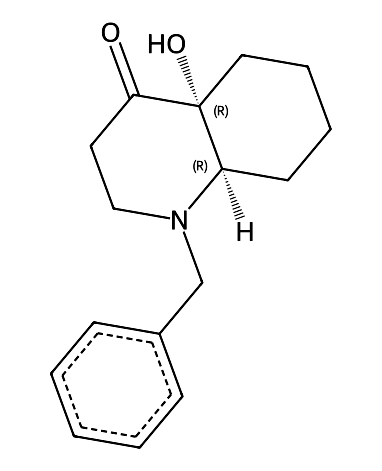 O=C1CCN(Cc2ccccc2)[C@@H]2CCCC[C@]12O